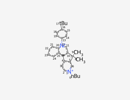 CCCC[n+]1ccc2c(c1)C(C)(C)c1c[n+](-c3ccc(C(C)(C)C)cc3)c3ccccc3c1-2